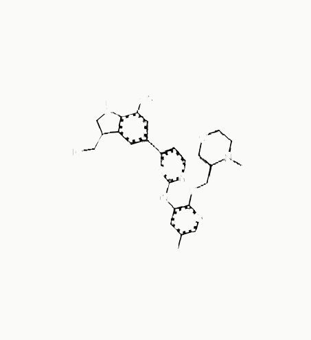 Cc1cnc(OCC2COCCN2C)c(Nc2nccc(-c3cc(C#N)c4c(c3)C(CO)CN4)n2)c1